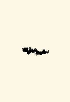 CC(C)c1cc(N2CCCc3cc(-c4ccc(C(=O)NCc5cc(-c6cccc(CN7CCC(=O)NC7=O)c6)nn5C)nc4)c(C(F)F)cc32)cc2c1n(C)c(=O)n2C